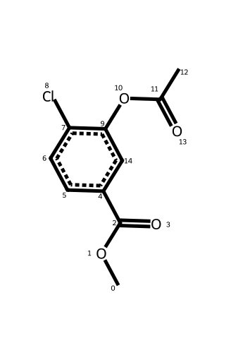 COC(=O)c1ccc(Cl)c(OC(C)=O)c1